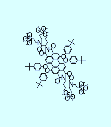 CCCC(C(=O)N(CC[Si](OC)(OC)OC)CC[Si](OC)(OC)OC)N1C(=O)c2cc(Oc3ccc(C(C)(C)C)cc3)c3c4c(Oc5ccc(C(C)(C)C)cc5)cc5c6c(cc(Oc7ccc(C(C)(C)C)cc7)c(c7c(Oc8ccc(C(C)(C)C)cc8)cc(c2c37)C1=O)c64)C(=O)N(C(CCC)C(=O)N(CC[Si](OC)(OC)OC)CC[Si](OC)(OC)OC)C5=O